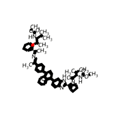 COC(=O)N[C@@H](C(C)C)C(C)N1C2CCC(C2)[C@H]1/C(C)=N/C=C(\C)c1ccc(-c2ccc(-c3ccc4nc([C@@H]5C6CCC(C6)N5C(=O)[C@@H](NC(=O)OC)C(C)C)[nH]c4c3)c3c2C2CCC3CC2)cc1